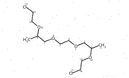 CC(COCCOCC(C)OCCCl)OCCCl